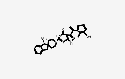 C=C(c1cccc(O)c1C)c1n[nH]c2nc(N3CCC4(CC3)Cc3ccccc3[C@H]4N)[nH]c(=O)c12